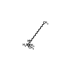 CCCCCCCCCCCCCCCCNCC[N+](C)(C)CC